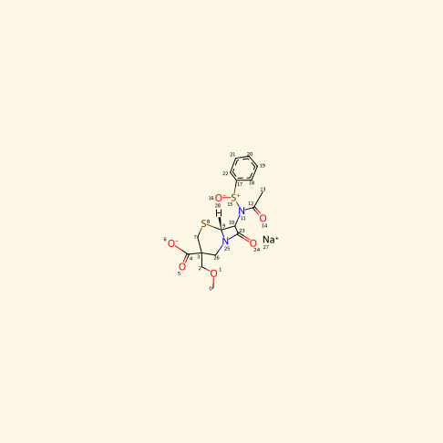 COCC1(C(=O)[O-])CS[C@@H]2C(N(C(C)=O)[S+]([O-])c3ccccc3)C(=O)N2C1.[Na+]